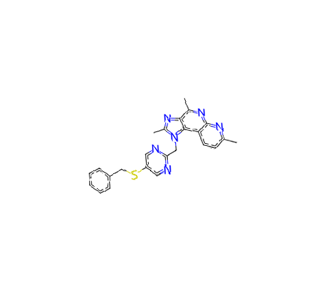 Cc1ccc2c(n1)nc(C)c1nc(C)n(Cc3ncc(SCc4ccccc4)cn3)c12